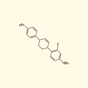 CCCCc1ccc(C2C=CC(c3ccc(CCC)cc3)CC2)c(F)c1